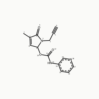 C#CCN1C(=O)C(C)=CC1OC(=O)Nc1cccnc1